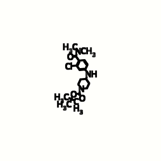 CN(C)C(=O)c1ccc(NC2CCN(C(=O)OC(C)(C)C)CC2)cc1Cl